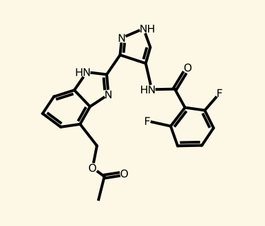 CC(=O)OCc1cccc2[nH]c(-c3n[nH]cc3NC(=O)c3c(F)cccc3F)nc12